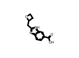 O=C(O)c1ccc2nc(CC3CCO3)[nH]c2c1